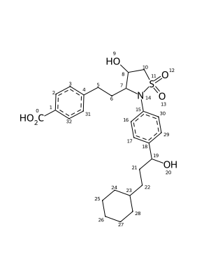 O=C(O)c1ccc(CCC2C(O)CS(=O)(=O)N2c2ccc(C(O)CCC3CCCCC3)cc2)cc1